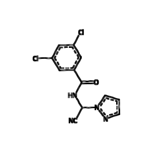 N#CC(NC(=O)c1cc(Cl)cc(Cl)c1)n1cccn1